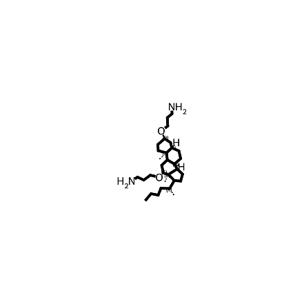 CCCC[C@@H](C)C1CCC2[C@@H]3CC[C@@H]4C[C@H](OCCCN)CC[C@]4(C)C3C[C@H](OCCCN)[C@@]21C